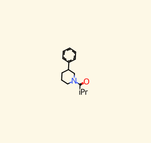 CC(C)C(=O)N1CCCC(c2ccccc2)C1